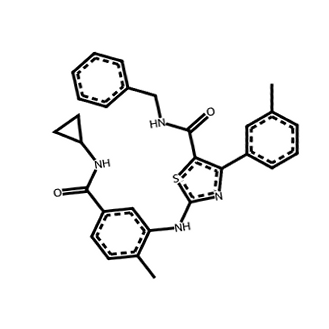 Cc1cccc(-c2nc(Nc3cc(C(=O)NC4CC4)ccc3C)sc2C(=O)NCc2ccccc2)c1